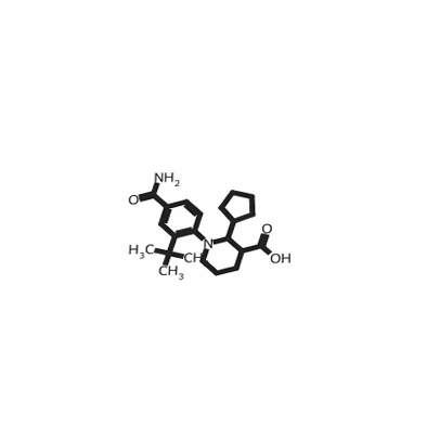 CC(C)(C)c1cc(C(N)=O)ccc1N1CCCC(C(=O)O)C1C1CCCC1